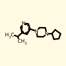 CC(C)c1cncc(N2CCN(C3CCCC3)CC2)c1